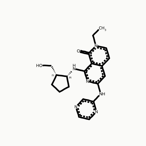 CCn1ccc2cc(Nc3cnccn3)nc(N[C@@H]3CCC[C@@H]3CO)c2c1=O